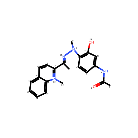 CC(=O)Nc1ccc(N(C)/N=C(\C)c2ccc3ccccc3[n+]2C)c(O)c1